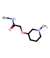 CN1CCCC(OCC(=O)NC(C)(C)C)C1